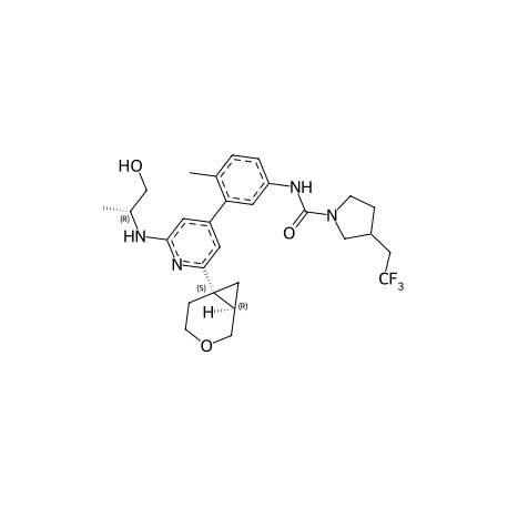 Cc1ccc(NC(=O)N2CCC(CC(F)(F)F)C2)cc1-c1cc(N[C@H](C)CO)nc([C@@]23CCOC[C@@H]2C3)c1